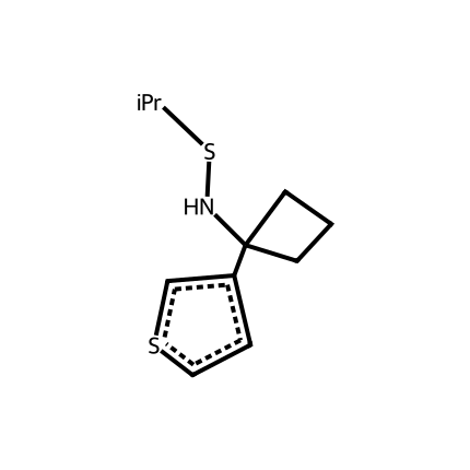 CC(C)SNC1(c2ccsc2)CCC1